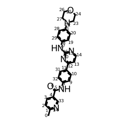 Cc1ccc(C(=O)Nc2ccc(-c3ccnc(Nc4ccc(N5CCOCC5)cc4)n3)cc2)cn1